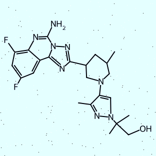 Cc1nn(C(C)(C)CO)cc1N1CC(C)CC(c2nc3c4cc(F)cc(F)c4nc(N)n3n2)C1